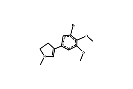 COc1cc(C2=CN(C)CC2)cc(Br)c1OC